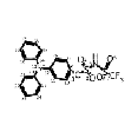 O=S(=O)(NS(=O)(=O)C(F)(F)F)C(F)(F)F.c1ccc([S+](c2ccccc2)c2ccccc2)cc1